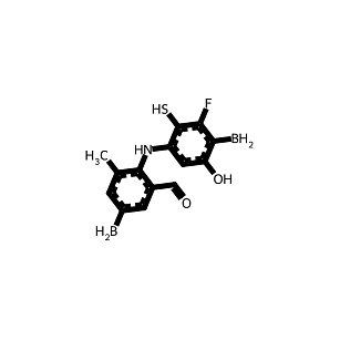 Bc1cc(C)c(Nc2cc(O)c(B)c(F)c2S)c(C=O)c1